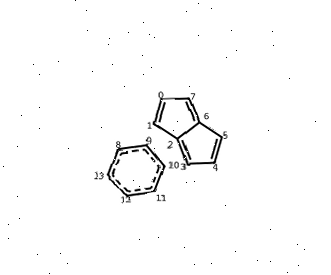 C1=CC2=CC=CC2=C1.c1ccccc1